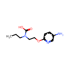 CCCN(CCOc1ccc(N)cn1)C(=O)O